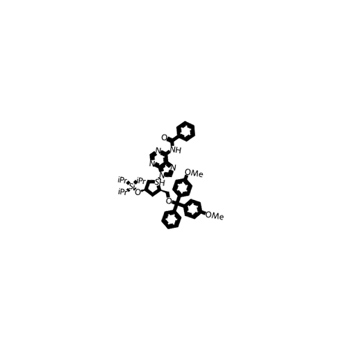 COc1ccc(C(OC[C@H]2[CH][C@@H](O[Si](C(C)C)(C(C)C)C(C)C)C[SH]2n2cnc3c(NC(=O)c4ccccc4)ncnc32)(c2ccccc2)c2ccc(OC)cc2)cc1